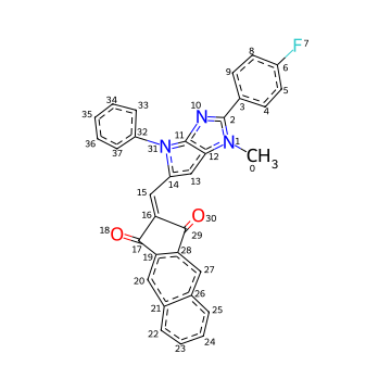 Cn1c(-c2ccc(F)cc2)nc2c1cc(C=C1C(=O)c3cc4ccccc4cc3C1=O)n2-c1ccccc1